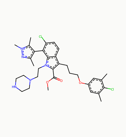 COC(=O)c1c(CCCOc2cc(C)c(Cl)c(C)c2)c2ccc(Cl)c(-c3c(C)nn(C)c3C)c2n1CCN1CCNCC1